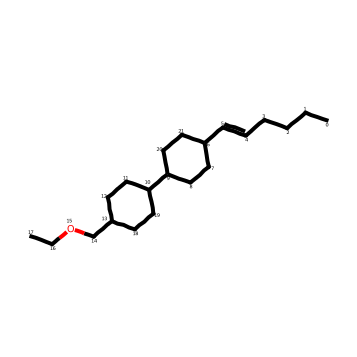 CCCCC=CC1CCC(C2CCC(COCC)CC2)CC1